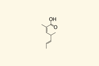 CC=CC(C)C=C(C)C(=O)O